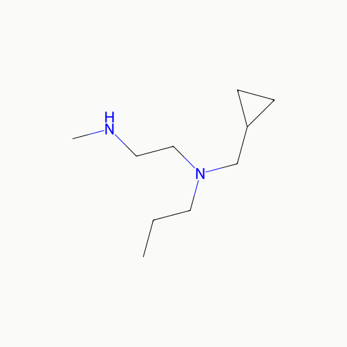 CCCN(CCNC)CC1CC1